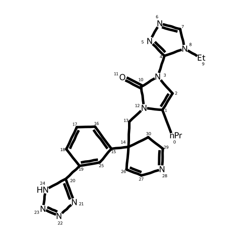 CCCc1cn(-c2nncn2CC)c(=O)n1CC1(c2cccc(-c3nnn[nH]3)c2)C=CN=CC1